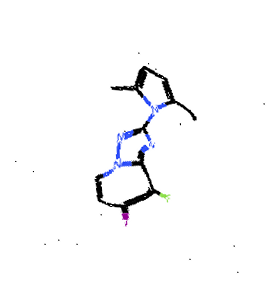 Cc1ccc(C)n1-c1nc2c(F)c(I)ccn2n1